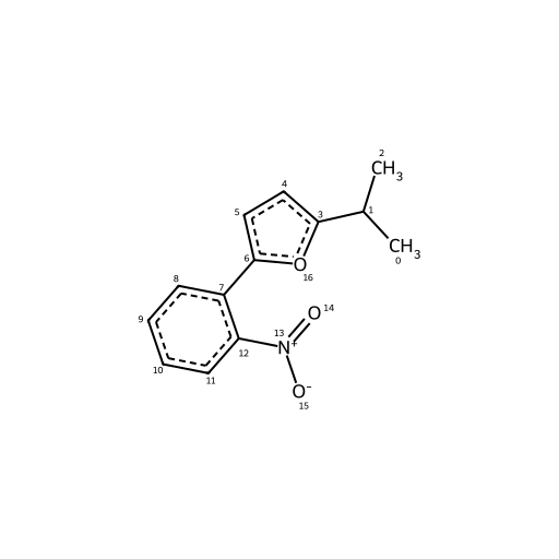 CC(C)c1ccc(-c2ccccc2[N+](=O)[O-])o1